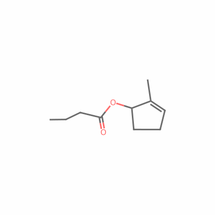 CCCC(=O)OC1CCC=C1C